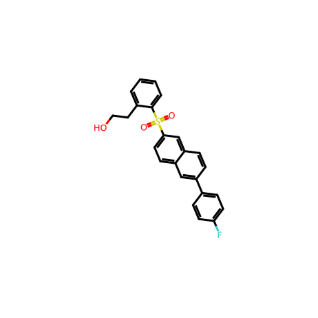 O=S(=O)(c1ccc2cc(-c3ccc(F)cc3)ccc2c1)c1ccccc1CCO